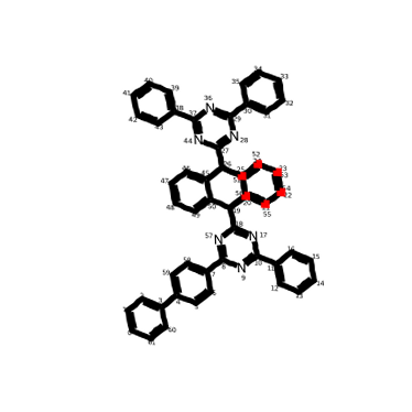 c1ccc(-c2ccc(-c3nc(-c4ccccc4)nc(C45c6ccccc6C(c6nc(-c7ccccc7)nc(-c7ccccc7)n6)(c6ccccc64)c4ccccc45)n3)cc2)cc1